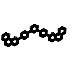 c1cnc2c(c1)ccc1ccc(-c3ccc(-c4cc(-c5ccc(-c6ccc7ccc8cccnc8c7n6)cc5)ncn4)cc3)nc12